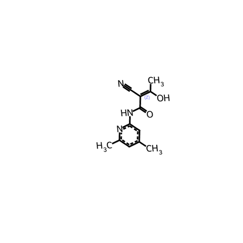 C/C(O)=C(\C#N)C(=O)Nc1cc(C)cc(C)n1